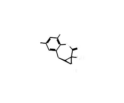 NC12C(=O)Nc3c(F)cc(F)cc3C3C1[C@H]32